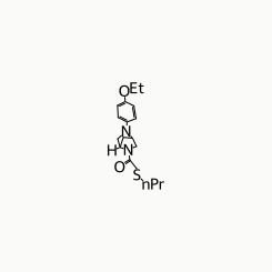 CCCSCC(=O)N1CC2C[C@H]1CN2c1ccc(OCC)cc1